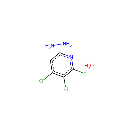 Clc1ccnc(Cl)c1Cl.NN.O